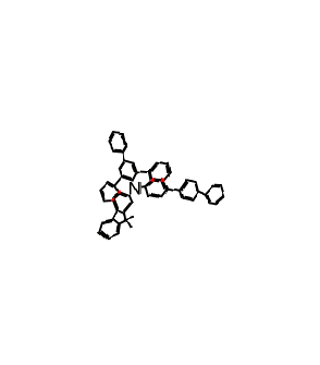 CC1(C)c2ccccc2-c2ccc(N(c3ccc(-c4ccc(-c5ccccc5)cc4)cc3)c3c(-c4ccccc4)cc(-c4ccccc4)cc3-c3ccccc3)cc21